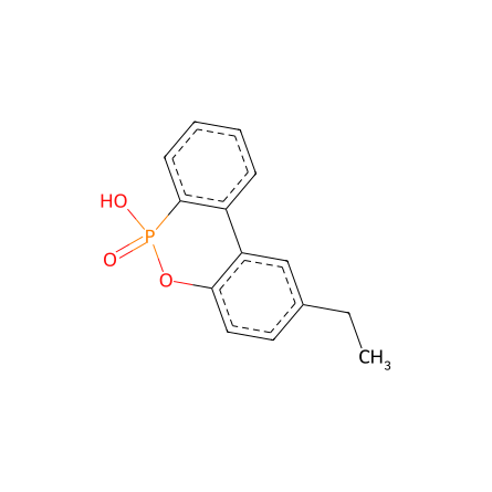 CCc1ccc2c(c1)-c1ccccc1P(=O)(O)O2